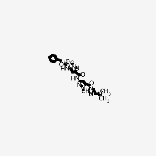 CN(C)CCNC(=O)c1cc(NC(=O)c2cc(NC(=O)OCc3ccccc3)n(C)n2)nn1C